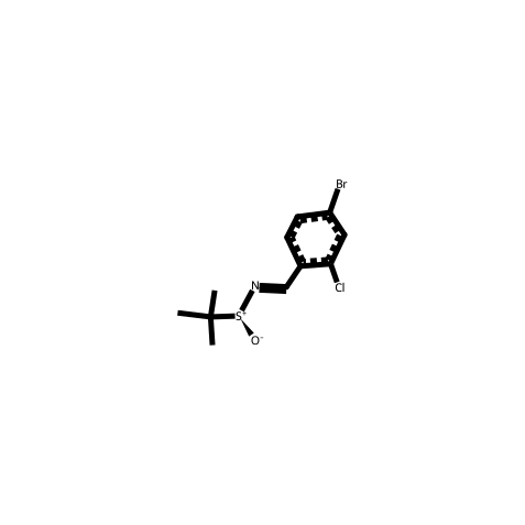 CC(C)(C)[S@+]([O-])N=Cc1ccc(Br)cc1Cl